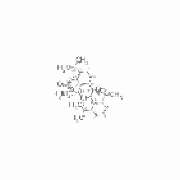 CC(C)c1cccc(C(C)C)c1CC(=O)c1ccc(C(C)C)c(OS(N)(=O)=O)c1C(C)C